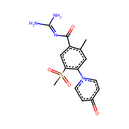 Cc1cc(-n2ccc(=O)cc2)c(S(C)(=O)=O)cc1C(=O)N=C(N)N